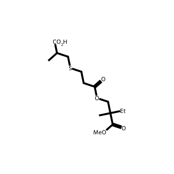 CCC(C)(COC(=O)CCSCC(C)C(=O)O)C(=O)OC